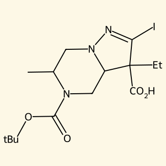 CCC1(C(=O)O)C(I)=NN2CC(C)N(C(=O)OC(C)(C)C)CC21